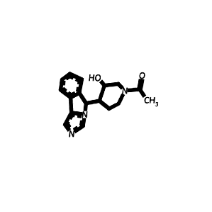 CC(=O)N1CCC(C2c3ccccc3-c3cncn32)C(O)C1